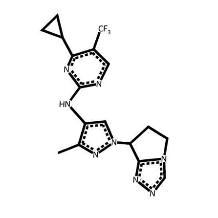 Cc1nn(C2CCn3cnnc32)cc1Nc1ncc(C(F)(F)F)c(C2CC2)n1